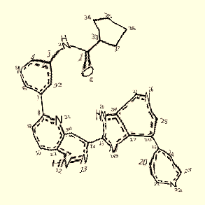 O=C(Nc1cncc(-c2ccc3[nH]nc(-c4nc5c(-c6ccncc6)cncc5[nH]4)c3n2)c1)C1CCCC1